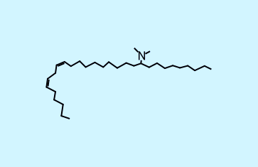 CCCCC/C=C\C/C=C\CCCCCCCCCC(CCCCCCCCC)N(C)C